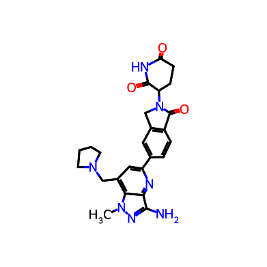 Cn1nc(N)c2nc(-c3ccc4c(c3)CN(C3CCC(=O)NC3=O)C4=O)cc(CN3CCCC3)c21